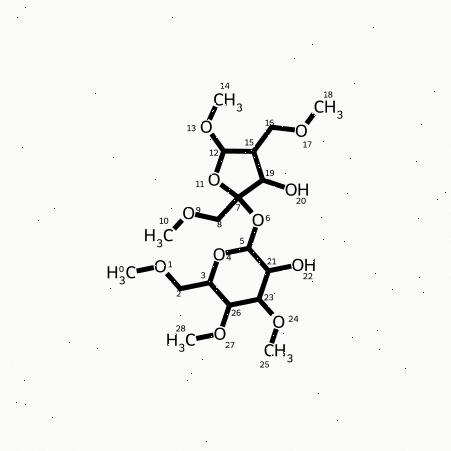 COCC1OC(OC2(COC)OC(OC)C(COC)C2O)C(O)C(OC)C1OC